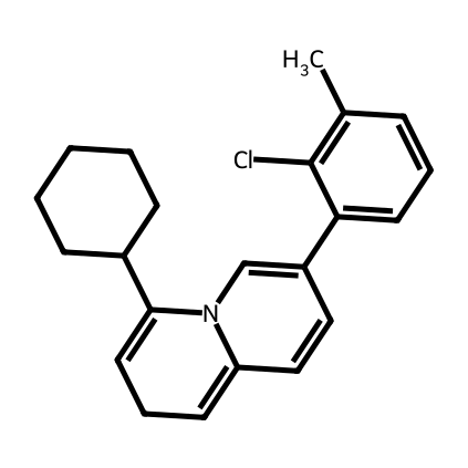 Cc1cccc(C2=CN3C(=CCC=C3C3CCCCC3)C=C2)c1Cl